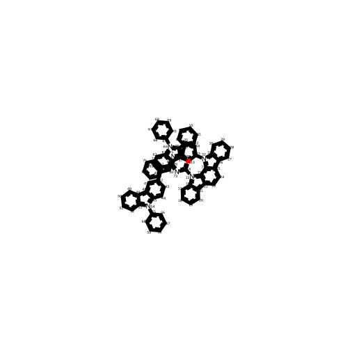 c1ccc(-c2nc(-c3ccccc3)nc(-n3c4ccccc4c4ccc5c6ccccc6n(-c6ccc7c(c6)c6cc(-c8ccc9c(c8)c8ccccc8n9-c8ccccc8)ccc6n7-c6ccccc6)c5c43)n2)cc1